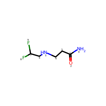 NC(=O)CCNCC(F)F